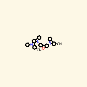 N#Cc1ccc2c(c1)c1ccccc1n2-c1ccc2oc3ccc(-n4c5ccccc5c5ccc6c(c7cc(C#N)ccc7n6-c6ccccc6)c54)cc3c2c1